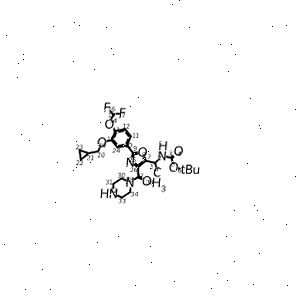 CC(NC(=O)OC(C)(C)C)c1oc(-c2ccc(OC(F)F)c(OCC3CC3)c2)nc1C(=O)N1CCNCC1